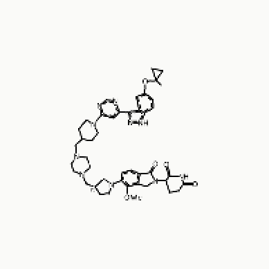 COc1c(N2CC[C@@H](CN3CCN(CC4CCN(c5cc(-c6n[nH]c7ccc(OC8(C)CC8)cc67)ncn5)CC4)CC3)C2)ccc2c1CN(C1CCC(=O)NC1=O)C2=O